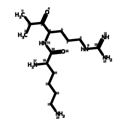 CC(C)C(=O)C(CCCNC(=N)N)NC(=O)C(N)CCCCN